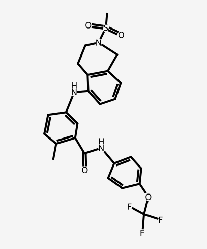 Cc1ccc(Nc2cccc3c2CCN(S(C)(=O)=O)C3)cc1C(=O)Nc1ccc(OC(F)(F)F)cc1